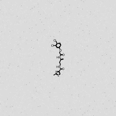 C=C(CCNC(=O)c1csc(C)n1)NC(=O)COc1ccc(Cl)c(Cl)c1